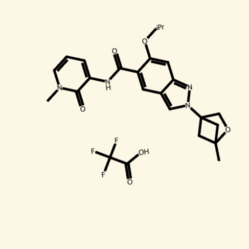 CC(C)Oc1cc2nn(C34COC(C)(C3)C4)cc2cc1C(=O)Nc1cccn(C)c1=O.O=C(O)C(F)(F)F